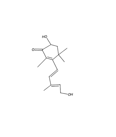 CC(C=CC1=C(C)C(=O)C(O)CC1(C)C)=CCO